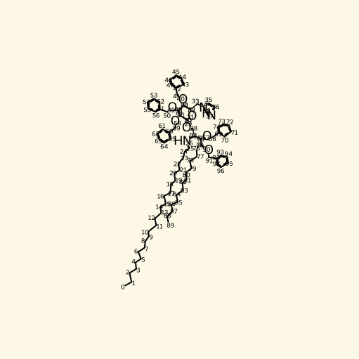 CCCCCCCCCCCCCCCCCCCCCCCCCCN[C@@H](CO[C@H]1O[C@H](Cn2ccnn2)[C@H](OCc2ccccc2)[C@H](OCc2ccccc2)[C@H]1OCc1ccccc1)[C@H](OCc1ccccc1)[C@@H](CCCCCCCCCCCCCC)OCc1ccccc1